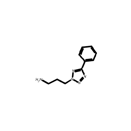 NCCCn1nnc(-c2ccccc2)n1